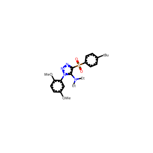 CCN(CC)c1c(S(=O)(=O)c2ccc(C(C)(C)C)cc2)nnn1-c1cc(OC)ccc1OC